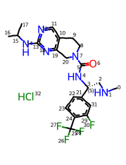 CNC[C@@H](NC(=O)N1CCc2cnc(NC(C)C)nc2C1)c1ccc(C(F)(F)F)c(F)c1.Cl